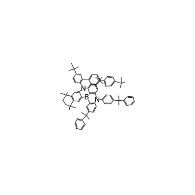 CC(C)(C)c1ccc(-c2ccc(-c3cc(C(C)(C)C)ccc3N3c4cc5c(cc4B4c6cc(C(C)(C)c7ccccc7)ccc6N(c6ccc(C(C)(C)c7ccccc7)cc6)c6cc(C(C)(C)C)cc3c64)C(C)(C)CCC5(C)C)cc2)cc1